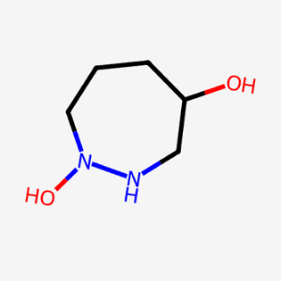 OC1CCCN(O)NC1